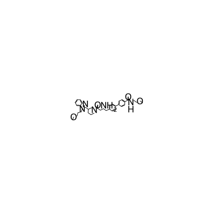 COCCCn1c(C2CCCN(C(=O)CC(N)Cc3ccc(-c4ccc(C(=O)NCCOC)cc4)cc3)C2)nc2ccccc21